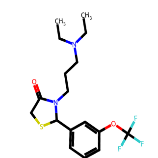 CCN(CC)CCCN1C(=O)CSC1c1cccc(OC(F)(F)F)c1